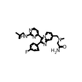 C=C(C)CNc1nccc(-c2c(-c3ccc(F)cc3)nc3cc(CN(C)CC(N)=O)ccn23)n1